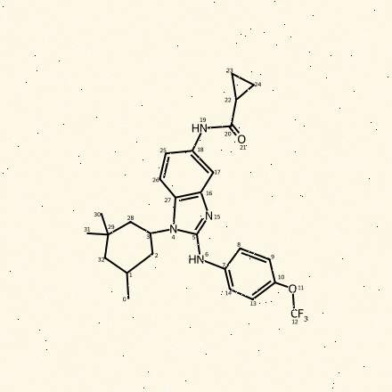 CC1CC(n2c(Nc3ccc(OC(F)(F)F)cc3)nc3cc(NC(=O)C4CC4)ccc32)CC(C)(C)C1